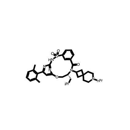 CCCN1CCC2(CC1)CC(N1C(=O)c3cccc(c3)S(=O)(=O)Nc3nc(cc(-c4c(C)cccc4C)n3)OC[C@H]1CC(C)C)C2